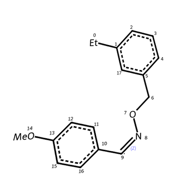 CCc1cccc(CO/N=[C]\c2ccc(OC)cc2)c1